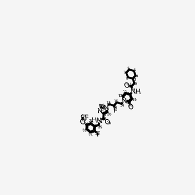 O=C(CC1CCCCC1)Nc1ccn(CCC(F)Cn2cc(C(=O)NCc3cc(OC(F)(F)F)ccc3F)nn2)c(=O)c1